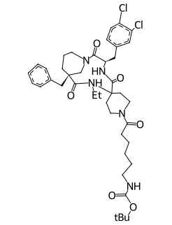 CCNC(=O)[C@]1(Cc2ccccc2)CCCN(C(=O)[C@@H](Cc2ccc(Cl)c(Cl)c2)NC(=O)C2(C)CCN(C(=O)CCCCCNC(=O)OC(C)(C)C)CC2)C1